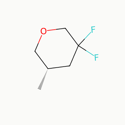 C[C@@H]1COCC(F)(F)C1